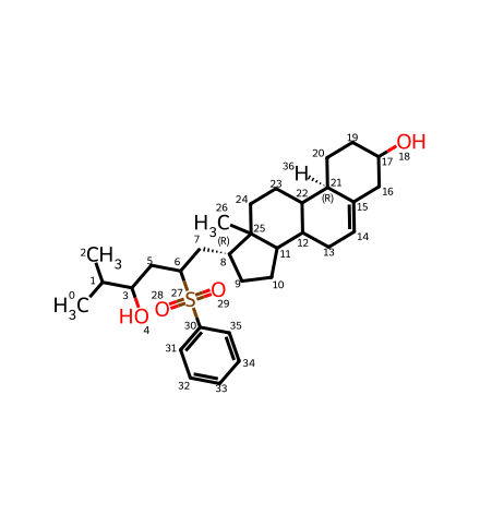 CC(C)C(O)CC(C[C@H]1CCC2C3CC=C4CC(O)CC[C@@H]4C3CCC21C)S(=O)(=O)c1ccccc1